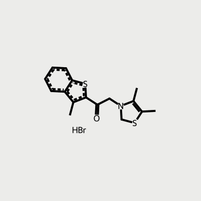 Br.CC1=C(C)N(CC(=O)c2sc3ccccc3c2C)CS1